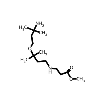 COC(=O)CCNCCC(C)(C)OCCC(C)(C)N